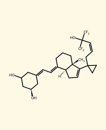 C[C@]12CCC/C(=C\C=C3\CC(O)C[C@H](O)C3)[C@@H]1CC=C2C1(C/C=C\C(O)(C(F)(F)F)C(F)(F)F)CC1